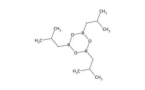 CC(C)CB1OB(CC(C)C)OB(CC(C)C)O1